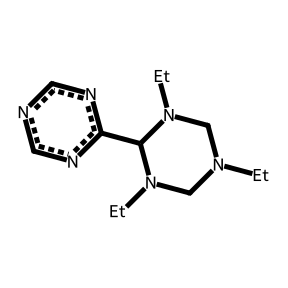 CCN1CN(CC)C(c2ncncn2)N(CC)C1